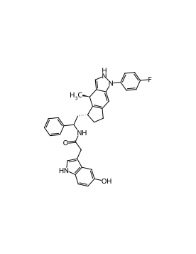 C[C@H]1C2=CNN(c3ccc(F)cc3)C2=CC2=C1[C@@H](CC(NC(=O)Cc1c[nH]c3ccc(O)cc13)c1ccccc1)CC2